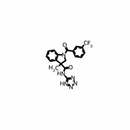 CC1(C(=O)Nc2nnn[nH]2)CN(C(=O)c2cccc(C(F)(F)F)c2)c2ccccc21